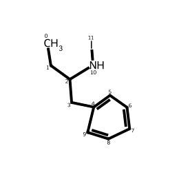 CCC(Cc1ccccc1)NI